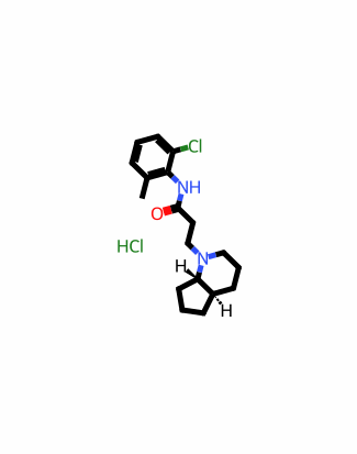 Cc1cccc(Cl)c1NC(=O)CCN1CCC[C@H]2CCC[C@@H]21.Cl